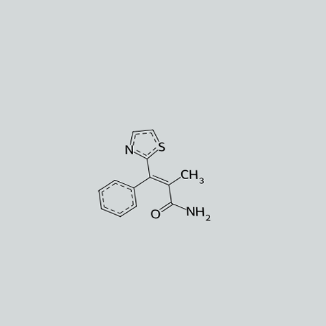 CC(C(N)=O)=C(c1ccccc1)c1nccs1